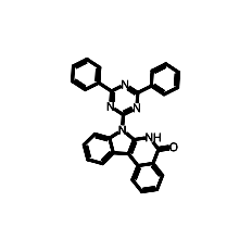 O=c1[nH]c2c(c3ccccc13)c1ccccc1n2-c1nc(-c2ccccc2)nc(-c2ccccc2)n1